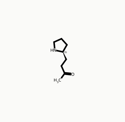 CC(=O)CC[C@@H]1CCCN1